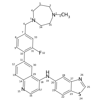 CN1CCCN(Cc2ccc(-c3ccc4nccc(Nc5ccc6scnc6c5)c4c3)c(F)c2)CC1